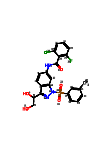 O=C(Nc1ccc2c(C(O)CO)nn(S(=O)(=O)c3cccc(C(F)(F)F)c3)c2c1)c1c(F)cccc1Cl